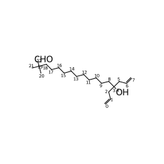 C=CCC(O)(CC=C)CCCCCCCCCCCC(C)(C)C=O